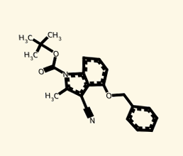 Cc1c(C#N)c2c(OCc3ccccc3)cccc2n1C(=O)OC(C)(C)C